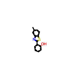 Cc1ccc2sc(-c3ccccc3O)nc2c1